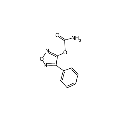 NC(=O)Oc1nonc1-c1ccccc1